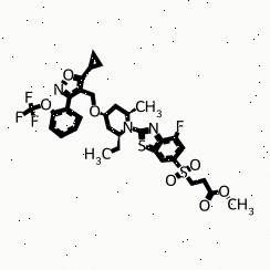 CC[C@H]1C[C@@H](OCc2c(-c3ccccc3OC(F)(F)F)noc2C2CC2)C[C@@H](C)N1c1nc2c(F)cc(S(=O)(=O)CCC(=O)OC)cc2s1